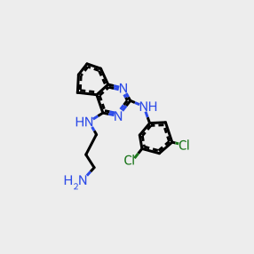 NCCCNc1nc(Nc2cc(Cl)cc(Cl)c2)nc2ccccc12